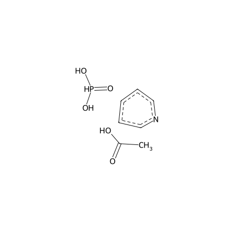 CC(=O)O.O=[PH](O)O.c1ccncc1